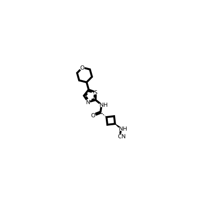 N#CN[C@H]1C[C@H](C(=O)Nc2ncc(C3CCOCC3)s2)C1